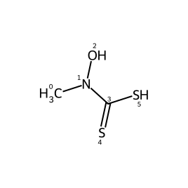 CN(O)C(=S)S